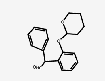 O=CC(c1ccccc1)c1ccccc1OC1CCCCO1